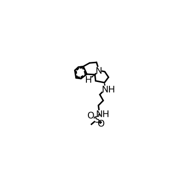 CS(=O)(=O)NCCCN[C@@H]1CCN2CCc3ccccc3[C@H]2C1